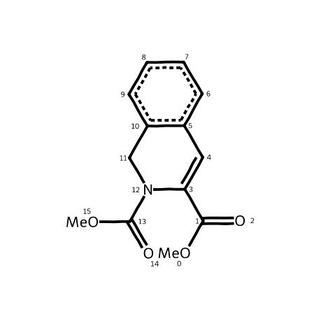 COC(=O)C1=Cc2ccccc2CN1C(=O)OC